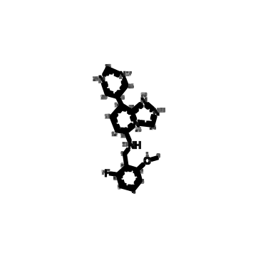 COc1cccc(F)c1CNc1ccc(-c2cncnc2)c2nncn12